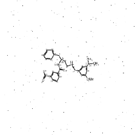 COc1cc(CNCC[C@H](Cc2ccccc2)NC(=O)c2cccc(C(=O)I)c2)cc(N(C)C)c1